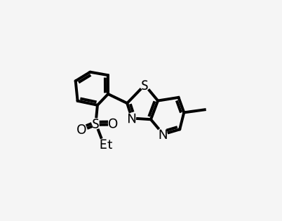 CCS(=O)(=O)c1ccccc1-c1nc2ncc(C)cc2s1